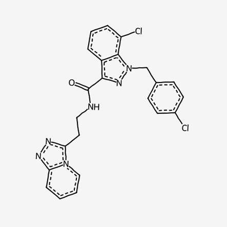 O=C(NCCc1nnc2ccccn12)c1nn(Cc2ccc(Cl)cc2)c2c(Cl)cccc12